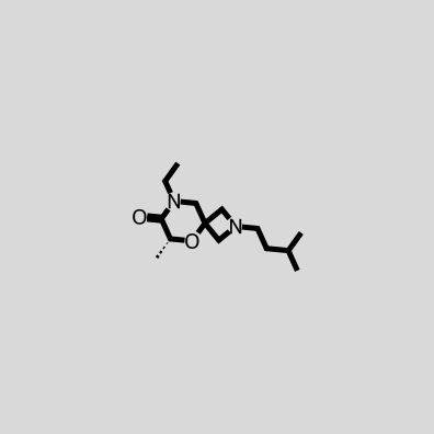 CCN1CC2(CN(CCC(C)C)C2)O[C@H](C)C1=O